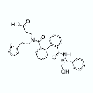 O=C(O)CCN(CCc1cccs1)C(=O)c1ccccc1-c1ccccc1C(=O)N[C@@H](CO)c1ccccc1